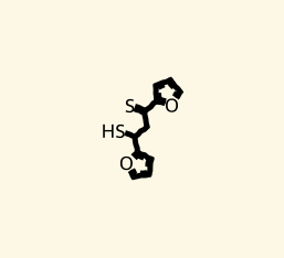 S=C(CC(S)c1ccco1)c1ccco1